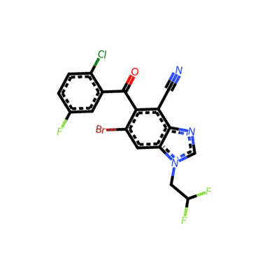 N#Cc1c(C(=O)c2cc(F)ccc2Cl)c(Br)cc2c1ncn2CC(F)F